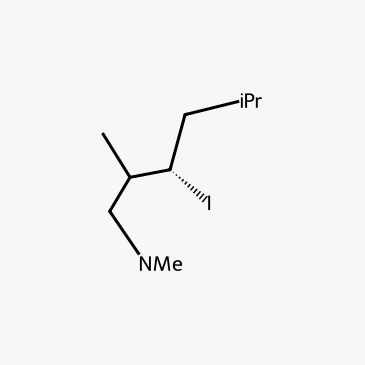 CNCC(C)[C@@H](I)CC(C)C